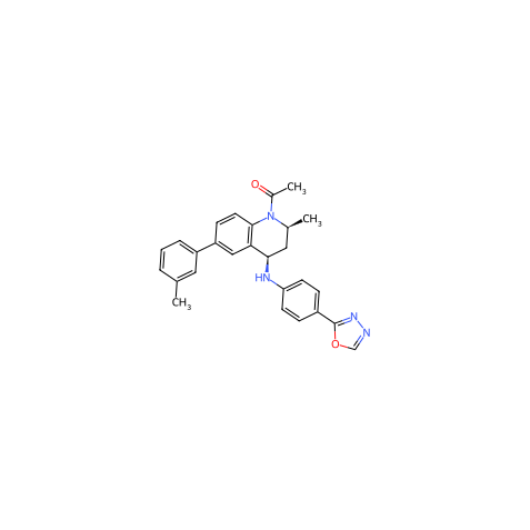 CC(=O)N1c2ccc(-c3cccc(C)c3)cc2[C@H](Nc2ccc(-c3nnco3)cc2)C[C@@H]1C